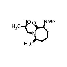 C=C1CCCC(NC)C(=O)N1CC(C)O